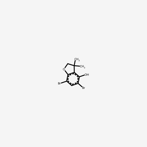 CC1(C)COc2c(Br)cc(Br)c(O)c21